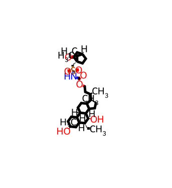 CC[C@H]1[C@@H](O)[C@@H]2[C@H](CC[C@]3(C)[C@@H]([C@H](C)CCOC(=O)NS(=O)(=O)C[C@]45CC[C@H](CC4=O)C5(C)C)CC[C@@H]23)[C@@]2(C)CC[C@@H](O)C[C@@H]12